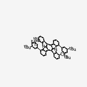 CC(C)(C)c1cc(-c2cccc3c4c5c6cccc(C(F)(F)F)c6n6c7c(-c8cc(C(C)(C)C)cc(C(C)(C)C)c8)cccc7c(c7c8cccc(C(F)(F)F)c8n(c23)c47)c56)cc(C(C)(C)C)c1